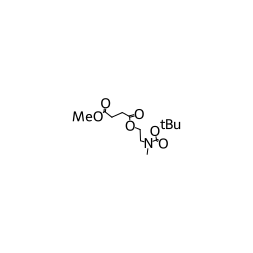 COC(=O)CCC(=O)OCCN(C)C(=O)OC(C)(C)C